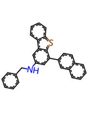 c1ccc(CNc2cc(-c3ccc4ccccc4c3)c3sc4ccccc4c3c2)cc1